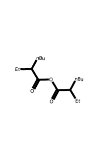 CCCCC(CC)C(=O)OC(=O)C(CC)CCCC